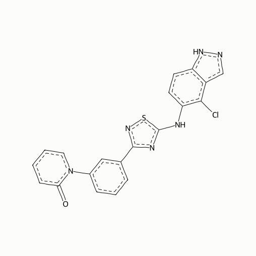 O=c1ccccn1-c1cccc(-c2nsc(Nc3ccc4[nH]ncc4c3Cl)n2)c1